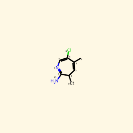 CCC1C=C(C)C(Cl)=CN=C1N